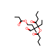 CCCC(=O)OC(CC)(C(=O)CCC)C(C)([C]=O)CCOC(=O)CC